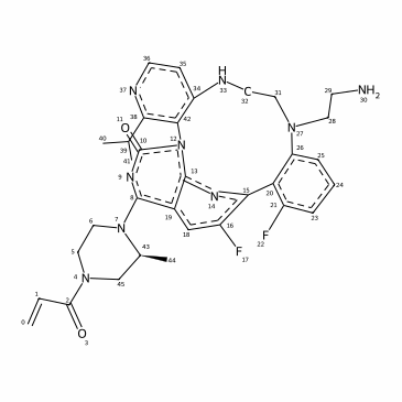 C=CC(=O)N1CCN(c2nc(=O)n3c4nc(c(F)cc24)-c2c(F)cccc2N(CCN)CCNc2ccnc(C(C)C)c2-3)[C@@H](C)C1